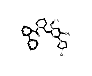 C=NN1C=C(C)C(N2CC[C@H](N)C2)=N/C1=C/C1CCCCN1C(=O)c1ccccc1-c1ccccc1